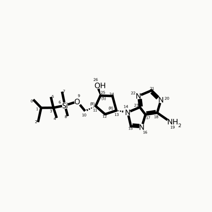 CC(C)C(C)(C)[Si](C)(C)OC[C@H]1C[C@@H](n2cnc3c(N)ncnc32)C[C@@H]1O